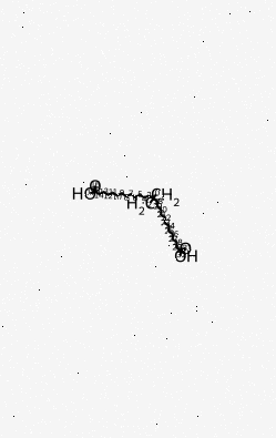 [CH2]C([CH2])(CCCCCCCCCCCCC(=O)O)CCCCCCCCCCCCC(=O)O